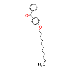 C=CCCCCCCCCCOc1ccc(C(=O)c2ccccc2)cc1